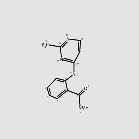 CNC(=O)c1ccccc1Nc1ccnc(C(F)(F)F)n1